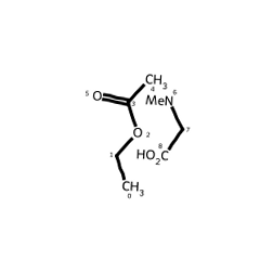 CCOC(C)=O.CNCC(=O)O